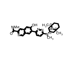 CNC(=O)c1cc2cc(O)c(-c3ccc(N(C)[C@@H]4C[C@]5(C)CCC[C@](C)(C4)N5)nn3)cc2cn1